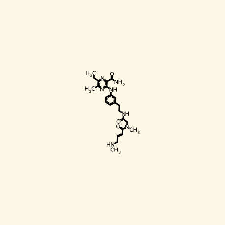 CCc1nc(C(N)=O)c(Nc2cccc(CCNC(=O)CN(C)C(=O)/C=C/CNC)c2)nc1C